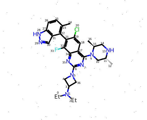 CCN(CC)C1CN(c2nc(N3C[C@@H](C)NC[C@@H]3C)c3cc(Cl)c(-c4c(C)ccc5[nH]ncc45)c(F)c3n2)C1